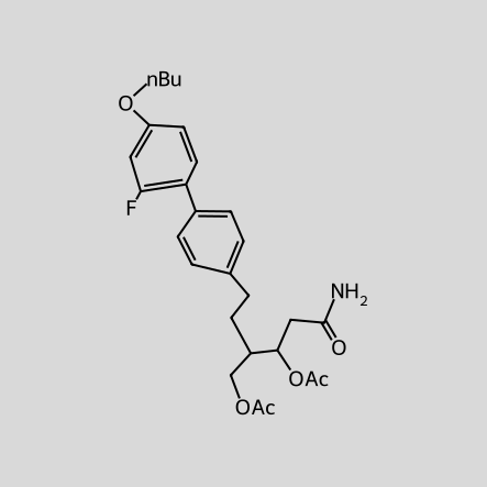 CCCCOc1ccc(-c2ccc(CCC(COC(C)=O)C(CC(N)=O)OC(C)=O)cc2)c(F)c1